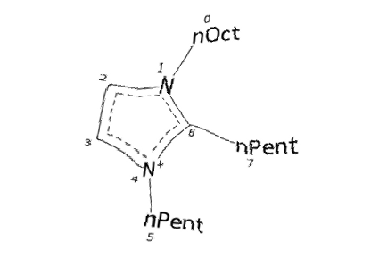 CCCCCCCCn1cc[n+](CCCCC)c1CCCCC